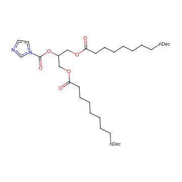 CCCCCCCCCCCCCCCCCC(=O)OCC(COC(=O)CCCCCCCCCCCCCCCCC)OC(=O)n1ccnc1